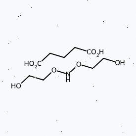 O=C(O)CCCC(=O)O.OCCONOCCO